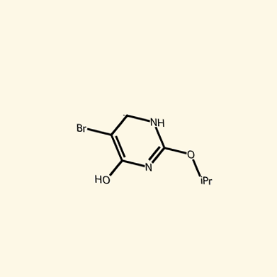 CC(C)OC1=NC(O)=C(Br)[CH]N1